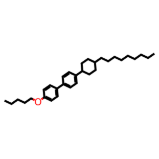 CCCCCCCCCC1CCC(c2ccc(-c3ccc(OCCCCC)cc3)cc2)CC1